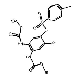 Cc1ccc(S(=O)(=O)Sc2cc(NC(=O)OC(C)(C)C)c(NC(=O)OC(C)(C)C)cc2C(C)C)cc1